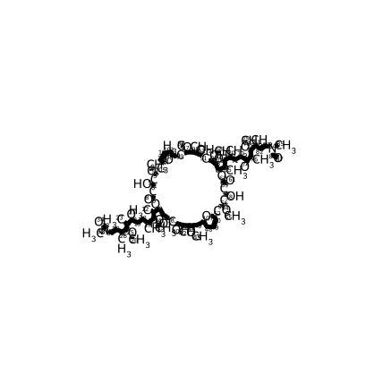 COC1CC(O)CC(=O)OC(C(C)C(OC)C(C)CCC(=O)C(C)C(OC)C(C)/C=C/N(C)C=O)CC(O)CC(O)C(C)C(OC)CC2CC=CC(CC(OC)CC(O)CC(=O)OC(C(C)C(OC)C(C)CCC(=O)C(C)C(OC)C(C)/C=C/N(C)C=O)CC(O)CC(O)C(C)C(OC)CC3CC=CC(C1)O3)O2